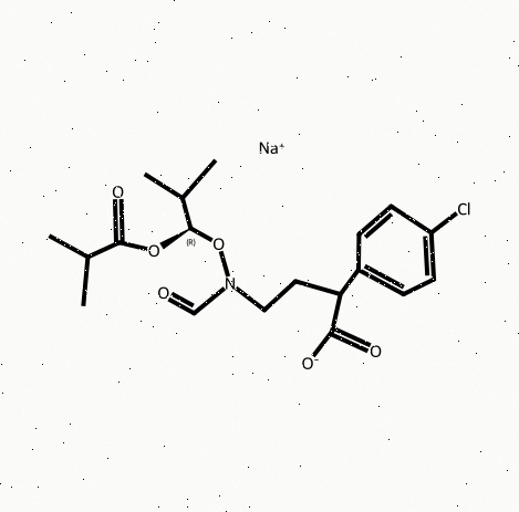 CC(C)C(=O)O[C@H](ON(C=O)CCC(C(=O)[O-])c1ccc(Cl)cc1)C(C)C.[Na+]